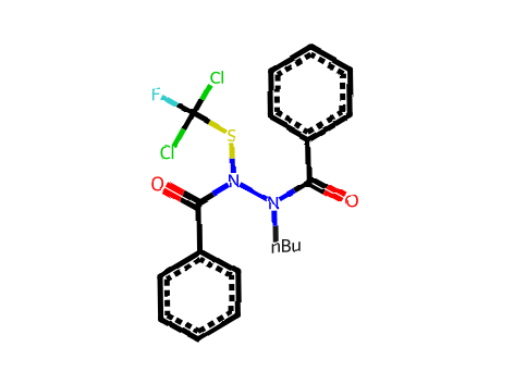 CCCCN(C(=O)c1ccccc1)N(SC(F)(Cl)Cl)C(=O)c1ccccc1